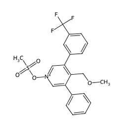 COCc1c(-c2ccccc2)c[n+](OS(C)(=O)=O)cc1-c1cccc(C(F)(F)F)c1